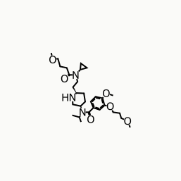 COCCCOc1cc(C(=O)N(C(C)C)[C@@H]2CC[C@H](CCN(C(=O)CCCOC)C3CC3)NC2)ccc1OC